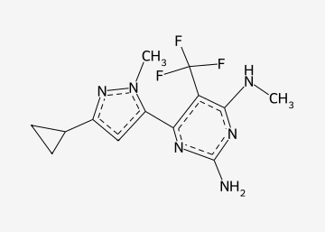 CNc1nc(N)nc(-c2cc(C3CC3)nn2C)c1C(F)(F)F